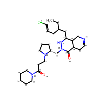 CCC(C/C=C/Cl)CC1NN(C[C@H]2CCCN2CCC(=O)N2CCCCC2)C(=O)C2CC=NCC12